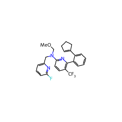 COCN(Cc1cccc(F)n1)c1ccc(C(F)(F)F)c(-c2ccccc2C2=CCCC2)n1